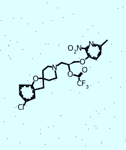 Cc1ccc(OC[C@H](CN2CCC3(CC2)Cc2cc(Cl)ccc2O3)OC(=O)C(F)(F)F)c([N+](=O)[O-])n1